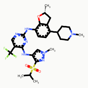 CC(C)S(=O)(=O)c1nn(C)cc1Nc1nc(Nc2ccc(C3CCN(C)CC3)c3c2O[C@H](C)C3)ncc1C(F)(F)F